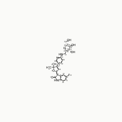 CC1(C)OC(=C2C(=O)Nc3ccc(F)cc32)C=C1c1ccc(NC[C@H]2O[C@H](CO)[C@@H](O)[C@@H]2O)nc1